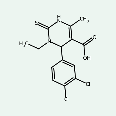 CCN1C(=S)NC(C)=C(C(=O)O)C1c1ccc(Cl)c(Cl)c1